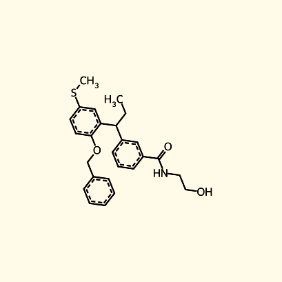 CCC(c1cccc(C(=O)NCCO)c1)c1cc(SC)ccc1OCc1ccccc1